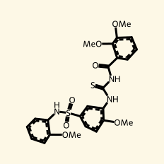 COc1ccc(S(=O)(=O)Nc2ccccc2OC)cc1NC(=S)NC(=O)c1cccc(OC)c1OC